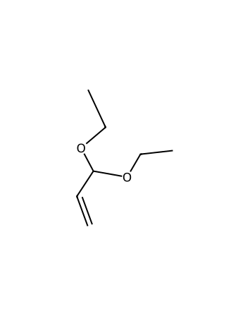 C=CC(OCC)OCC